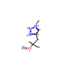 CCOC(C)(C)Cc1cn(C)nn1